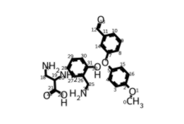 COc1ccc(Oc2cccc(C=O)c2)cc1.NCC(N)C(=O)O.NCc1ccccc1O